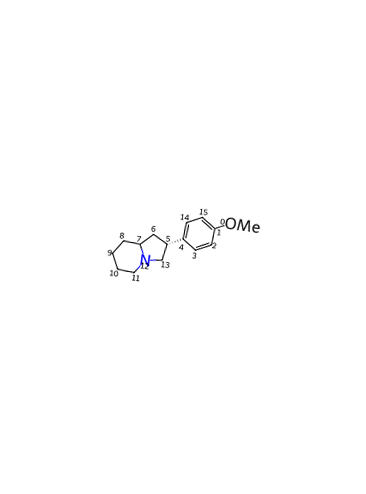 COc1ccc([C@H]2CC3CCCCN3C2)cc1